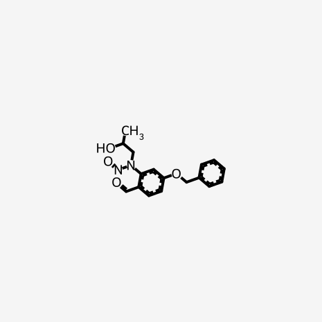 CC(O)CN(N=O)c1cc(OCc2ccccc2)ccc1C=O